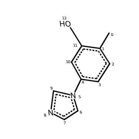 Cc1ccc(-n2ccnc2)cc1O